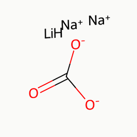 O=C([O-])[O-].[LiH].[Na+].[Na+]